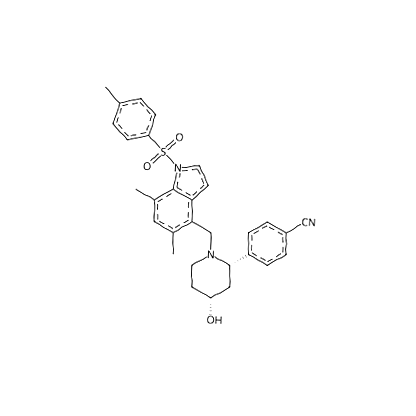 Cc1ccc(S(=O)(=O)n2ccc3c(CN4CC[C@@H](O)C[C@H]4c4ccc(C#N)cc4)c(C)cc(C)c32)cc1